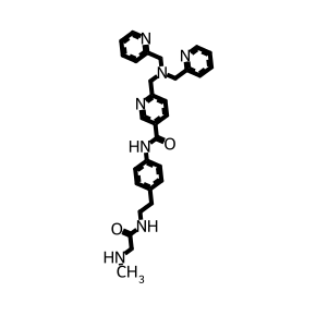 CNCC(=O)NCCc1ccc(NC(=O)c2ccc(CN(Cc3ccccn3)Cc3ccccn3)nc2)cc1